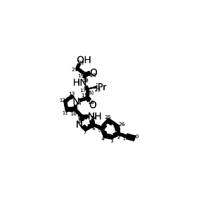 C#Cc1ccc(-c2cnc(C3=CCCN3C(=O)[C@@H](NC(=O)CO)C(C)C)[nH]2)cc1